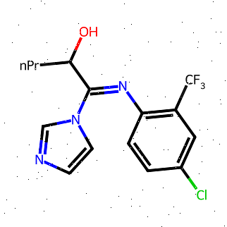 CCCC(O)/C(=N/c1ccc(Cl)cc1C(F)(F)F)n1ccnc1